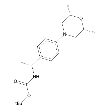 C[C@@H]1CN(c2ccc([C@@H](C)NC(=O)OC(C)(C)C)cc2)C[C@H](C)O1